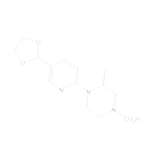 CC1CN(C(=O)O)CCN1c1ccc(C2OCCO2)cn1